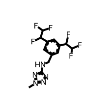 Cn1nnc(NCc2cc(C(F)C(F)F)cc(C(F)C(F)F)c2)n1